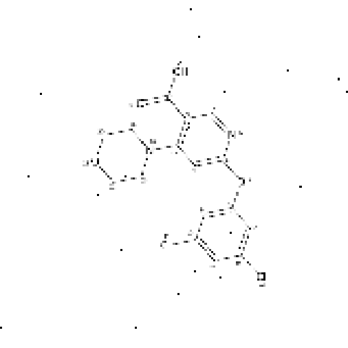 O=C(O)c1cnc(Oc2cc(Cl)cc(Cl)c2)cc1N1CCOCC1